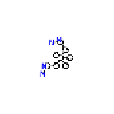 N#CC1=NCCC(c2cccc(-c3c(-c4ccccc4)c(-c4ccccc4)c(-c4cccc(-c5ccnc(C#N)c5)c4)c4ccccc34)c2)=C1